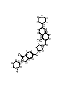 O=C1c2ccc(O[C@H]3CCN(Cc4ccc5nc(C6CCOCC6)ccc5c4Cl)C3)cc2CN1[C@H]1CCCNC1